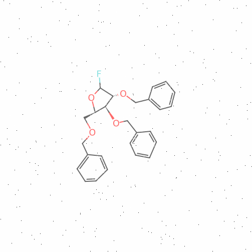 FC1O[C@H](COCc2ccccc2)[C@H](OCc2ccccc2)[C@H]1OCc1ccccc1